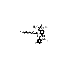 CN(Cc1cccc(NC(=O)c2cc(Br)cnc2N)c1OCCOCCOCCO)C(=O)OC(C)(C)C